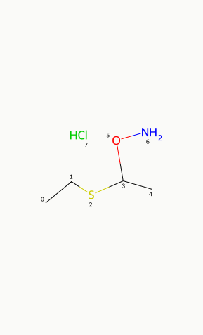 CCSC(C)ON.Cl